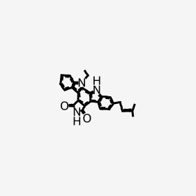 CCn1c2ccccc2c2c3c(c4c5ccc(CC=C(C)C)cc5[nH]c4c21)C(=O)NC3=O